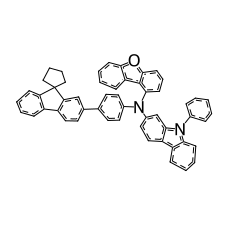 c1ccc(-n2c3ccccc3c3ccc(N(c4ccc(-c5ccc6c(c5)C5(CCCC5)c5ccccc5-6)cc4)c4cccc5oc6ccccc6c45)cc32)cc1